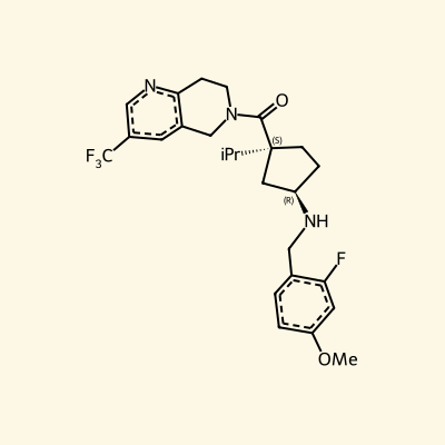 COc1ccc(CN[C@@H]2CC[C@@](C(=O)N3CCc4ncc(C(F)(F)F)cc4C3)(C(C)C)C2)c(F)c1